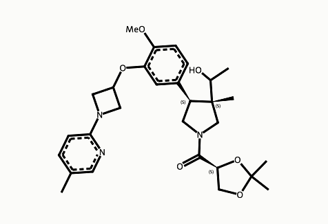 COc1ccc([C@@H]2CN(C(=O)[C@@H]3COC(C)(C)O3)C[C@@]2(C)C(C)O)cc1OC1CN(c2ccc(C)cn2)C1